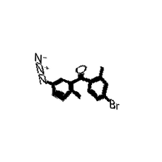 Cc1cc(Br)ccc1C(=O)c1cc(N=[N+]=[N-])ccc1C